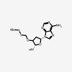 CCC[C@H]1O[C@@H](n2cnc3c(N)ncnc32)CC1OCSSC(C)(C)C